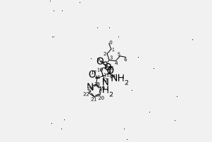 CCCC(CCC)S(=O)(=O)C[C@](N)(C(N)=O)C(=O)c1ccccn1